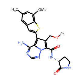 CCOCc1c(-c2cc3cc(C)cc(OC)c3s2)c2c(N)ncnn2c1C(=O)N[C@@H]1CCNC1=O